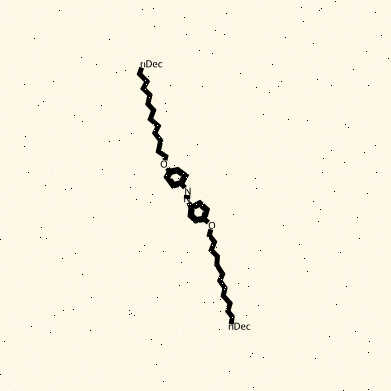 CCCCCCCCCCCCCCCCCCCCCCOc1ccc(/N=N/c2ccc(OCCCCCCCCCCCCCCCCCCCCCC)cc2)cc1